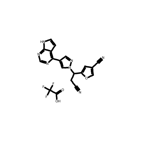 N#CCC(c1cc(C#N)co1)n1cc(-c2ncnc3[nH]ccc23)cn1.O=C(O)C(F)(F)F